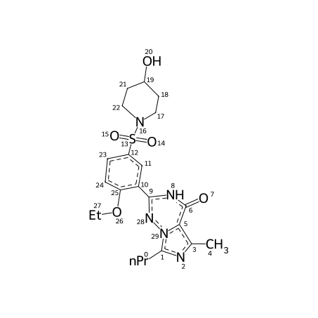 CCCc1nc(C)c2c(=O)[nH]c(-c3cc(S(=O)(=O)N4CCC(O)CC4)ccc3OCC)nn12